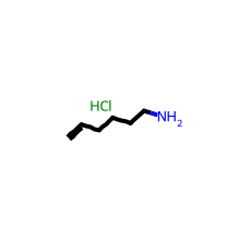 C=CCCCCN.Cl